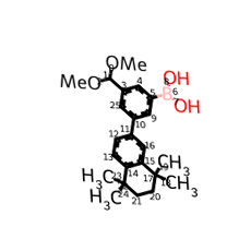 COC(OC)c1cc(B(O)O)cc(-c2ccc3c(c2)C(C)(C)CCC3(C)C)c1